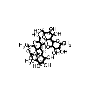 COC1OC(CO)C(OC2OC(CO)C(O)C(O)C2C2OC(C)C(O)C(O)C2O)C(CC2OC(C)C(O)C(O)C2O)C1NC(C)=O